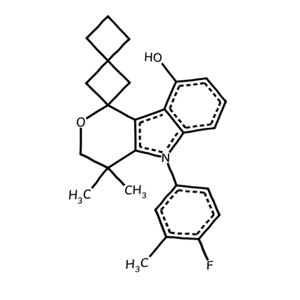 Cc1cc(-n2c3c(c4c(O)cccc42)C2(CC4(CCC4)C2)OCC3(C)C)ccc1F